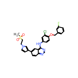 CS(=O)(=O)CCn1ccc(-c2ccc3ncnc(Nc4ccc(OCc5cccc(F)c5)c(Cl)c4)c3c2)c1